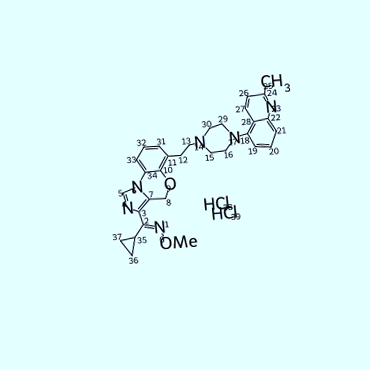 CON=C(c1ncn2c1COc1c(CCN3CCN(c4cccc5nc(C)ccc45)CC3)cccc1-2)C1CC1.Cl.Cl